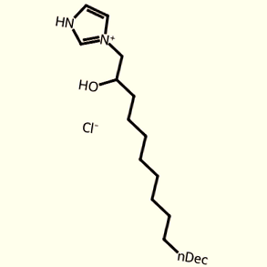 CCCCCCCCCCCCCCCCCCC(O)C[n+]1cc[nH]c1.[Cl-]